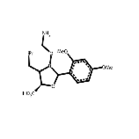 COc1ccc(C2O[C@@H](C(=O)O)C(CC(C)C)B2OCN)c(OC)c1